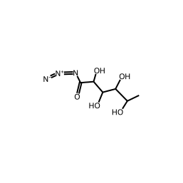 CC(O)C(O)C(O)C(O)C(=O)N=[N+]=[N-]